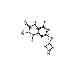 Cc1nc(NC2CNC2)cc2c1NC(=O)C(C(C)C)N2C